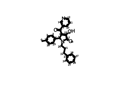 Cc1ccc(C2C(C(=O)c3cccnc3)=C(O)C(=O)N2CCCc2ccccc2)cc1